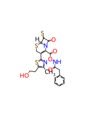 Cc1nc(C2=C(C(=O)ONC(=O)Cc3ccccc3)N3C(=O)C(=S)[C@@H]3SC2)sc1CCO